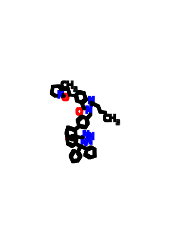 CCCCc1nc2ccc([C@@H]3C[C@@]4(C)CCCCN4O3)cc2c(=O)n1Cc1ccc(-c2ccccc2-c2nnnn2C(c2ccccc2)(c2ccccc2)c2ccccc2)cc1